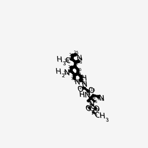 CCS(=O)(=O)N1CC(CC#N)(NC(=O)C(=O)Nc2cc3cc(-c4cnccc4C)cc(N)c3cn2)C1